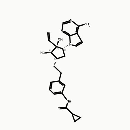 C=C[C@@]1(O)[C@H](O)[C@@H](CCc2cccc(NC(=O)C3CC3)c2)C[C@H]1n1ccc2c(N)ncnc21